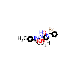 Cc1ccc([C@H](CC(=O)O)NC(=O)Nc2c(O)ccn(Cc3ccccc3Br)c2=O)cc1